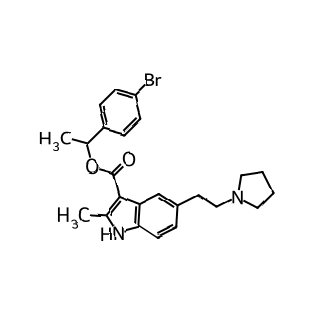 Cc1[nH]c2ccc(CCN3CCCC3)cc2c1C(=O)OC(C)c1ccc(Br)cc1